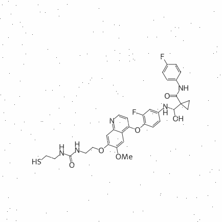 COc1cc2c(Oc3ccc(NC(O)C4(C(=O)Nc5ccc(F)cc5)CC4)cc3F)ccnc2cc1OCCNC(=O)NCCS